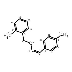 Cc1ccc(/[C]=N\OCc2ccccc2C)cc1